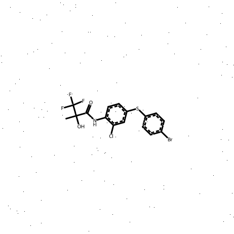 CC(O)(C(=O)Nc1ccc(Sc2ccc(Br)cc2)cc1Cl)C(F)(F)F